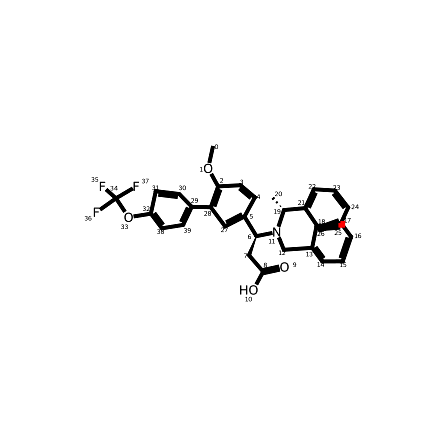 COc1ccc([C@H](CC(=O)O)N(Cc2ccccc2)[C@H](C)c2ccccc2)cc1-c1ccc(OC(F)(F)F)cc1